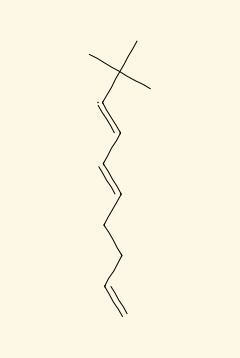 C=CCCC=CC=[C]C(C)(C)C